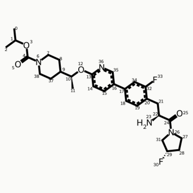 CC(C)OC(=O)N1CCC([C@H](C)Oc2ccc(-c3ccc(C[C@H](N)C(=O)N4CC[C@H](F)C4)c(F)c3)cn2)CC1